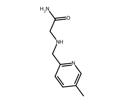 Cc1ccc(CNCC(N)=O)nc1